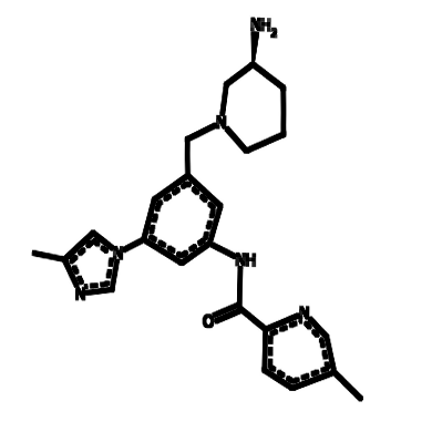 Cc1ccc(C(=O)Nc2cc(CN3CCC[C@H](N)C3)cc(-n3cnc(C)c3)c2)nc1